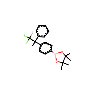 CC1(C)OB(c2ccc(C(C)(c3ccccc3)C(F)(F)F)cc2)OC1(C)C